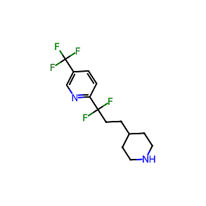 FC(F)(F)c1ccc(C(F)(F)CCC2CCNCC2)nc1